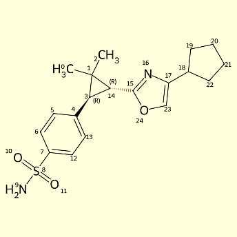 CC1(C)[C@H](c2ccc(S(N)(=O)=O)cc2)[C@H]1c1nc(C2CCCC2)co1